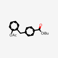 CC(=O)Oc1ccccc1Cc1ccc(C(=O)OCC(C)C)cc1